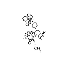 CCCCn1c(=O)[nH]c(=O)c2[nH]c(C(Cc3ccccc3F)c3ccc(NS(=O)(=O)c4c(Cl)cccc4Cl)cc3)nc21